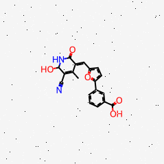 CC1=C(C#N)C(O)NC(=O)/C1=C/c1ccc(-c2cccc(C(=O)O)c2)o1